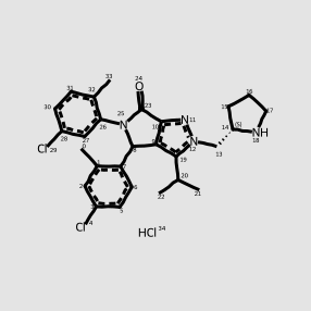 Cc1cc(Cl)ccc1C1c2c(nn(C[C@@H]3CCCN3)c2C(C)C)C(=O)N1c1cc(Cl)ccc1C.Cl